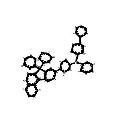 c1ccc(-c2ccc(N(c3ccccc3)c3ccc(-c4ccc5c(c4)C(c4ccccc4)(c4ccccc4)c4ccc6ccccc6c4-5)nc3)cc2)cc1